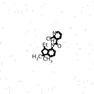 CCC1CC(C)(C)c2cccc(NC(=O)c3cccnc3Cl)c21